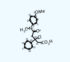 COc1ccc(N(C)C(=O)CC(Cl)(CC(=O)O)c2ccccc2)cc1